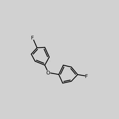 Fc1ccc(Oc2ccc(F)cc2)cc1